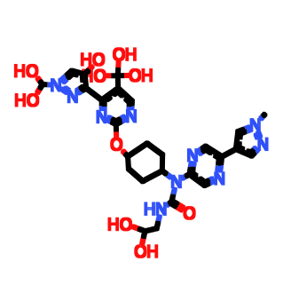 Cn1cc(-c2cnc(N(C(=O)NCC(O)O)C3CCC(Oc4ncc(C(O)(O)O)c(-c5nn(C(O)O)cc5O)n4)CC3)cn2)cn1